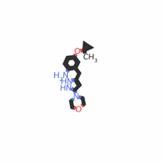 CC1(Oc2ccc(N)c(CC3=CC(N4CCOCC4)NN3)c2)CC1